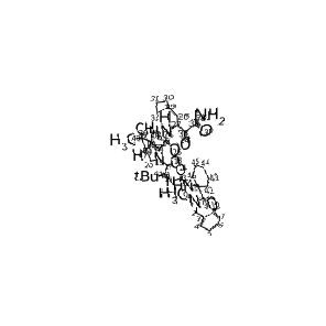 CN(Cc1ccccc1)C(=O)C1(NC(=O)N[C@H](C(=O)N2C[C@H]3[C@@H]([C@H]2C(=O)NC(CC2CCC2)C(=O)C(N)=O)C3(C)C)C(C)(C)C)CCCCC1